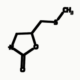 CSCC1C[N]C(=O)O1